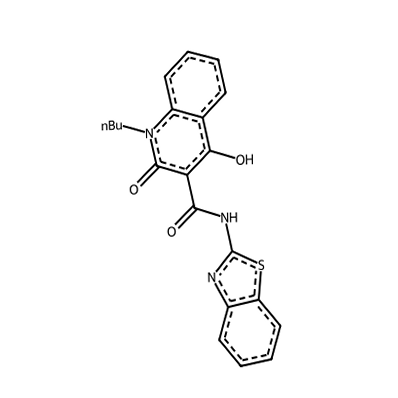 CCCCn1c(=O)c(C(=O)Nc2nc3ccccc3s2)c(O)c2ccccc21